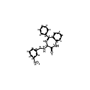 O=C1Nc2ccccc2C(c2ccccc2)=NC1NCc1cccc([N+](=O)[O-])c1